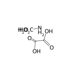 NC(=O)O.O.O=C(O)C(=O)O